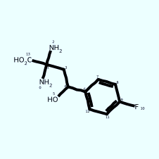 NC(N)(CC(O)c1ccc(F)cc1)C(=O)O